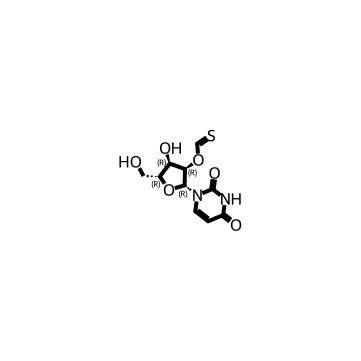 O=c1ccn([C@@H]2O[C@H](CO)[C@@H](O)[C@H]2OC=S)c(=O)[nH]1